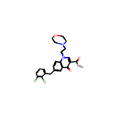 COC(=O)c1cn(CCN2CCOCC2)c2ccc(Cc3cccc(Cl)c3Cl)cc2c1=O